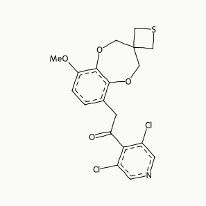 COc1ccc(CC(=O)c2c(Cl)cncc2Cl)c2c1OCC1(CO2)CSC1